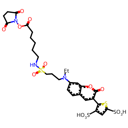 CCN(CCCS(=O)(=O)NCCCCCC(=O)ON1C(=O)CCC1=O)c1ccc2cc(-c3sc(S(=O)(=O)O)cc3S(=O)(=O)O)c(=O)oc2c1